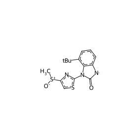 C[S+]([O-])c1csc(N2C(=O)[N]c3cccc(C(C)(C)C)c32)n1